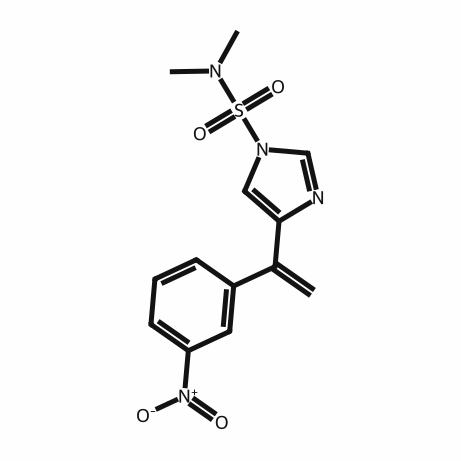 C=C(c1cccc([N+](=O)[O-])c1)c1cn(S(=O)(=O)N(C)C)cn1